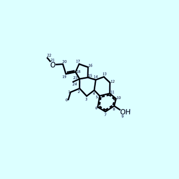 CCC1CC2c3ccc(O)cc3CCC2C2CCC(=CCOC)C12C